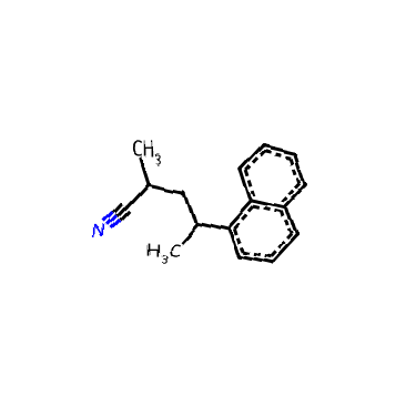 CC(C#N)CC(C)c1cccc2ccccc12